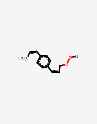 CCOOC/C=C\c1ccc(/C=C\C(=O)OCC)cc1